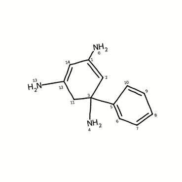 NC1=CC(N)(c2ccccc2)CC(N)=C1